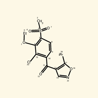 CCOc1c(S(C)(=O)=O)ccc(C(=O)c2cnoc2C(C)C)c1Cl